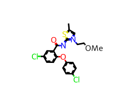 COCCn1cc(C)sc1=NC(=O)c1cc(Cl)ccc1Oc1ccc(Cl)cc1